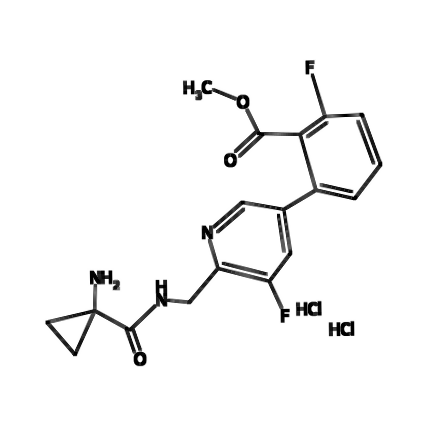 COC(=O)c1c(F)cccc1-c1cnc(CNC(=O)C2(N)CC2)c(F)c1.Cl.Cl